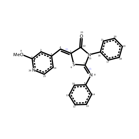 COc1cc(/C=C2\S/C(=N\c3ccccc3)N(c3ccccc3)C2=O)ccn1